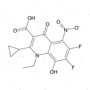 CCn1c(C2CC2)c(C(=O)O)c(=O)c2c([N+](=O)[O-])c(F)c(F)c(O)c21